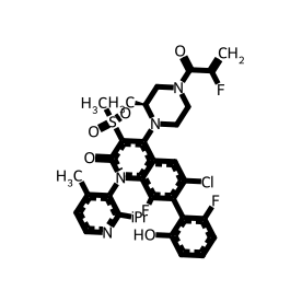 C=C(F)C(=O)N1CCN(c2c(S(C)(=O)=O)c(=O)n(-c3c(C)ccnc3C(C)C)c3c(F)c(-c4c(O)cccc4F)c(Cl)cc23)[C@@H](C)C1